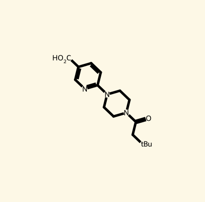 CC(C)(C)CC(=O)N1CCN(c2ccc(C(=O)O)cn2)CC1